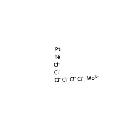 [Cl-].[Cl-].[Cl-].[Cl-].[Cl-].[Cl-].[Mo+6].[Ni].[Pt]